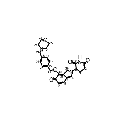 O=C1CC[C@@H](N2C=C3C=CC(=O)C(OCc4ccc(CN5CCOCC5)cc4)=C3C2)C(=O)N1